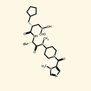 CN(C(=O)[C@@H](NC(=O)[C@H](CC1CCCC1)CN(O)C=O)C(C)(C)C)C1CCN(C(=O)c2cncn2C)CC1